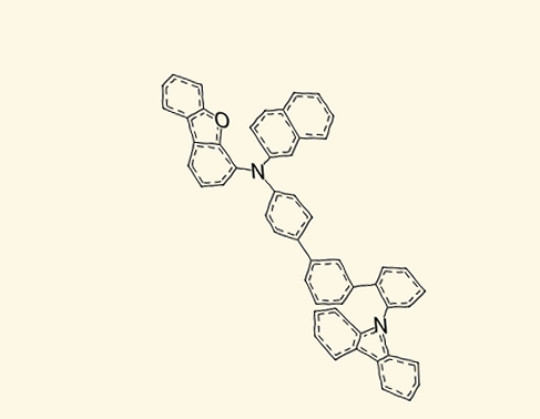 c1cc(-c2ccc(N(c3ccc4ccccc4c3)c3cccc4c3oc3ccccc34)cc2)cc(-c2ccccc2-n2c3ccccc3c3ccccc32)c1